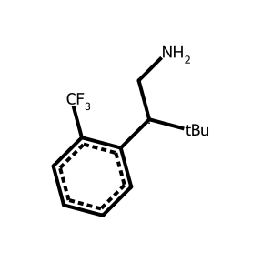 CC(C)(C)[C](CN)c1ccccc1C(F)(F)F